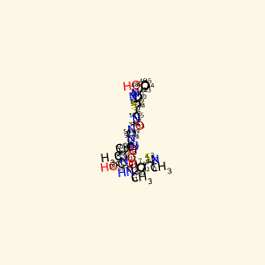 Cc1ncsc1-c1ccc([C@H](C)NC(=O)[C@@H]2C[C@@H](O)CN2C(=O)[C@@H](c2cc(N3CCN(CC(=O)N4CC(c5cc6cc(-c7ccccc7O)nnc6s5)C4)CC3)no2)C(C)C)cc1